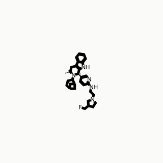 C[C@@H]1Cc2c([nH]c3ccccc23)[C@@H](c2ccc(NCCN3CCC(CF)C3)nc2)N1C1CCC2CC1C2